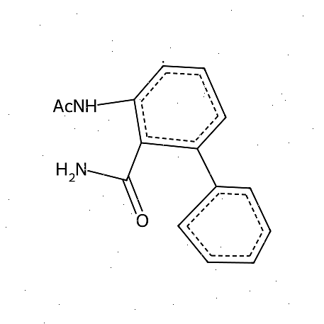 CC(=O)Nc1[c]ccc(-c2ccccc2)c1C(N)=O